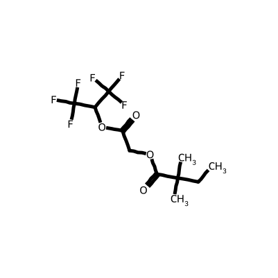 CCC(C)(C)C(=O)OCC(=O)OC(C(F)(F)F)C(F)(F)F